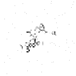 COCCCc1coc2ccc(C[C@H](C[C@@H]([C@@H]3C[C@@H](C(C)C)C(=O)O3)N(C(=O)O)C(C)(C)C)C(C)C)cc12